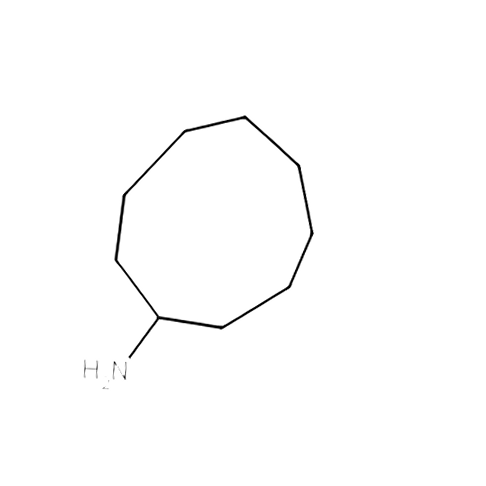 NC1CCCCCCCC1